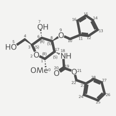 CO[C@@H]1O[C@@H](CO)[C@H](O)[C@@H](OCc2ccccc2)[C@@H]1NC(=O)OCc1ccccc1